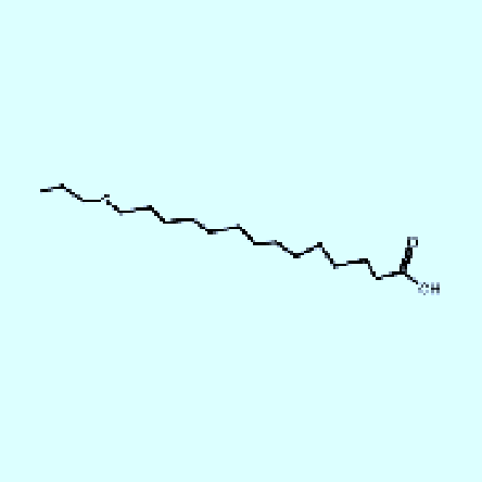 CCCSCCCCCCCCCCCCCC(=O)O